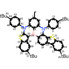 Cc1cc2c3c(c1)N(c1ccc(C(C)(C)C)cc1)c1c(ccc4c1sc1ccc(C(C)(C)C)cc14)B3c1c(sc3ccc(C(C)(C)C)cc13)N2c1ccc(C(C)(C)C)cc1